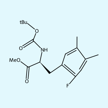 COC(=O)[C@H](Cc1cc(C)c(C)cc1F)NC(=O)OC(C)(C)C